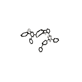 c1ccc(-c2ccc(-c3nc(-c4ccccc4)nc(-c4cccc5c4sc4cc(-c6cc(-c7ccccc7)c7c(c6)oc6ccccc67)ccc45)n3)cc2)cc1